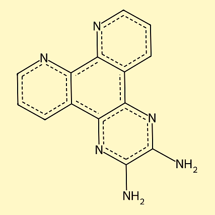 Nc1nc2c3cccnc3c3ncccc3c2nc1N